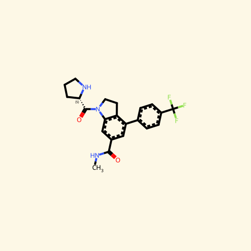 CNC(=O)c1cc(-c2ccc(C(F)(F)F)cc2)c2c(c1)N(C(=O)[C@@H]1CCCN1)CC2